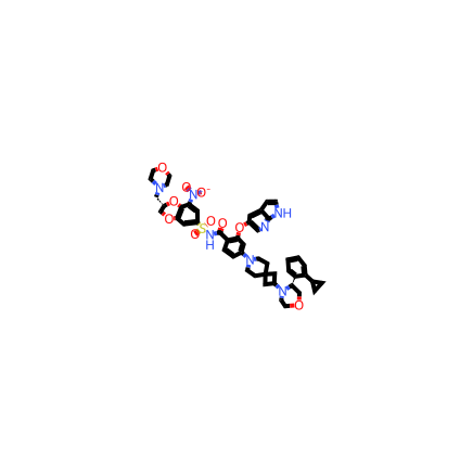 O=C(NS(=O)(=O)c1cc2c(c([N+](=O)[O-])c1)O[C@@H](CN1CCOCC1)CO2)c1ccc(N2CCC3(CC2)CC(N2CCOC[C@H]2c2ccccc2C2CC2)C3)cc1Oc1cnc2[nH]ccc2c1